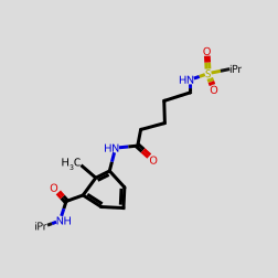 Cc1c(NC(=O)CCCCNS(=O)(=O)C(C)C)cccc1C(=O)NC(C)C